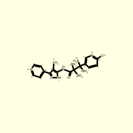 BC(B)(C(=O)Nc1[nH]nc(-c2ccncc2)c1C)C(B)(B)c1ccc(Cl)nc1